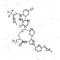 COc1cccc(-n2cc3c(n2)-c2ccnc(c2)C(n2cnc(-c4cc(Cl)ccc4N(N)/C=C(\N)C(F)(F)F)cc2=O)CCCC(C)C(=O)N3)n1